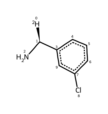 [2H][C@H](N)c1cccc(Cl)c1